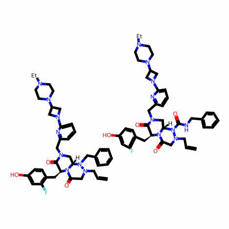 C=CCN1CC(=O)N2[C@@H](Cc3ccc(O)cc3F)C(=O)N(Cc3cccc(N4CC(N5CCN(CC)CC5)C4)n3)C[C@@H]2N1C(=O)NCc1ccccc1.C=CCN1CC(=O)N2[C@@H](Cc3ccc(O)cc3F)C(=O)N(Cc3cccc(N4CC(N5CCN(CC)CC5)C4)n3)C[C@@H]2N1Cc1ccccc1